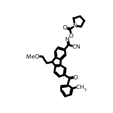 COCCC1c2ccc(C(=O)c3ccccc3C)cc2-c2cc(/C(C#N)=N/OC(=O)N3CCCC3)ccc21